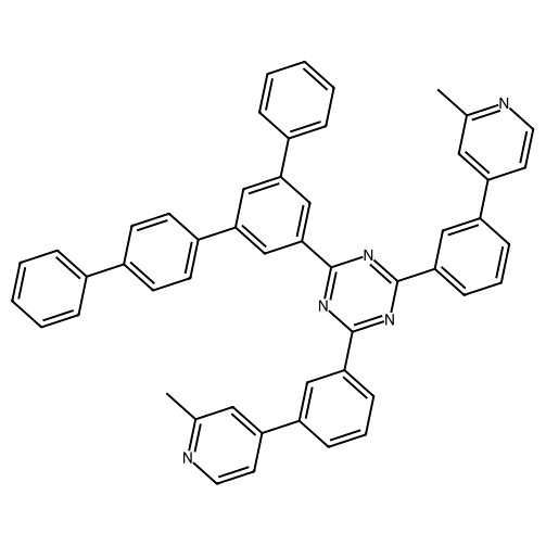 Cc1cc(-c2cccc(-c3nc(-c4cccc(-c5ccnc(C)c5)c4)nc(-c4cc(-c5ccccc5)cc(-c5ccc(-c6ccccc6)cc5)c4)n3)c2)ccn1